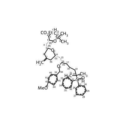 C=C1C[C@H](C[C@H](CC(=O)OCC)O[Si](C)(C)C)O[C@H](C[C@H](CCCC(C)(C)[Si](O)(c2ccccc2)c2ccccc2)OCc2ccc(OC)cc2)C1